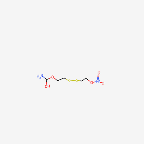 NC(O)OCCSSCCO[N+](=O)[O-]